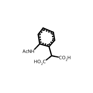 CC(=O)Nc1ccccc1C(C(=O)O)C(=O)O